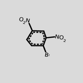 [B]c1ccc([N+](=O)[O-])cc1[N+](=O)[O-]